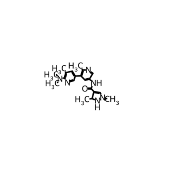 Cc1cc(-c2cc(NC(=O)C3=CN(C)NC3C)cnc2C)cnc1N(C)C